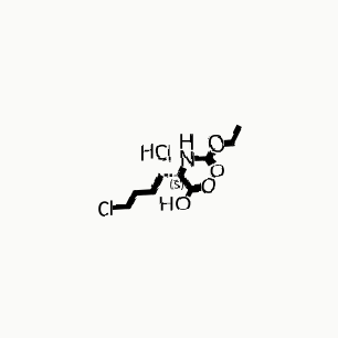 CCOC(=O)N[C@@H](CCCCCl)C(=O)O.Cl